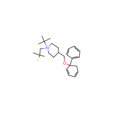 CC(C)(F)C[N+]1(C(C)(C)C)CCC(COC2(c3ccccc3)C=CC=CC2)CC1